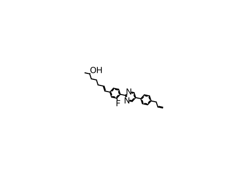 C=CCc1ccc(-c2cnc(-c3ccc(C=CCCCC(C)O)cc3F)nc2)cc1